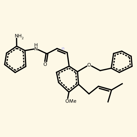 COc1ccc(/C=C\C(=O)Nc2ccccc2N)c(OCc2ccccc2)c1CC=C(C)C